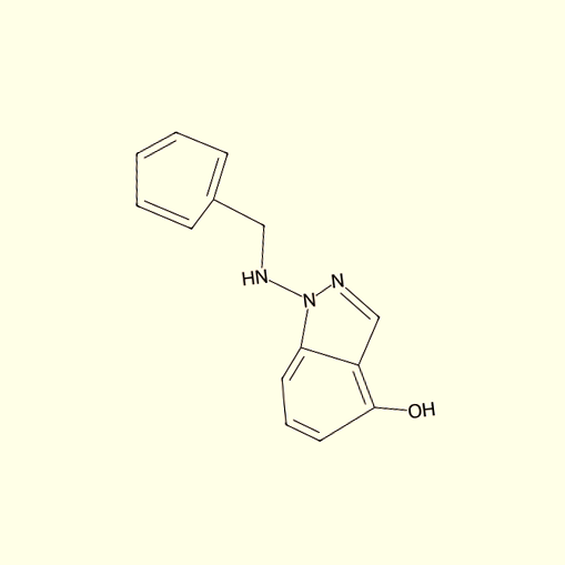 Oc1cccc2c1cnn2NCc1ccccc1